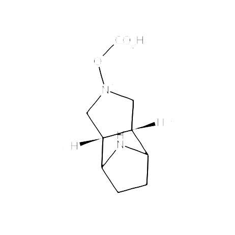 O=C(O)ON1C[C@@H]2C3CCC(N3)[C@@H]2C1